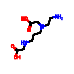 NCCN(CCCNCC(=O)O)CC(=O)O